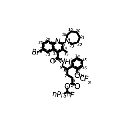 CCCC(F)OC(=O)CCC(CNC(=O)c1c(C)c(N2CCCCCC2)nc2ccc(Br)cc12)c1ccccc1OC(F)(F)F